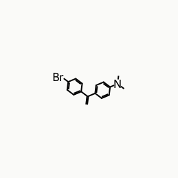 C=C(c1ccc(Br)cc1)c1ccc(N(C)C)cc1